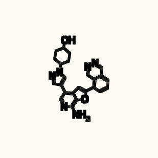 Nc1ncc(-c2cnn(C3CCC(O)CC3)c2)c2cc(-c3cccc4cnncc34)oc12